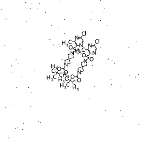 Cc1nc(Cl)cnc1S(=O)(=O)N1CC2(CN(C(=O)OC(C)(C)C)C2)C1.Cc1nc(Cl)cnc1S(=O)(=O)N1CC2(CN(C(=O)OC(C)(C)C)C2)C1